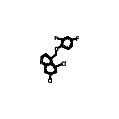 Fc1ccc(OCc2ccnc3cc(Cl)cc(Cl)c23)c(F)c1